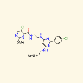 CSc1ncc(Cl)c(C(=O)NCCNc2cc(NCCNC(C)=O)nc(-c3ccc(Cl)cc3)n2)n1